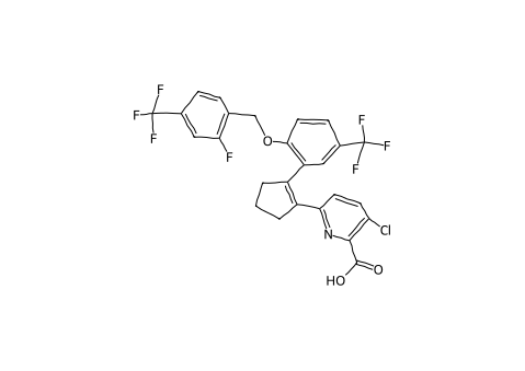 O=C(O)c1nc(C2=C(c3cc(C(F)(F)F)ccc3OCc3ccc(C(F)(F)F)cc3F)CCC2)ccc1Cl